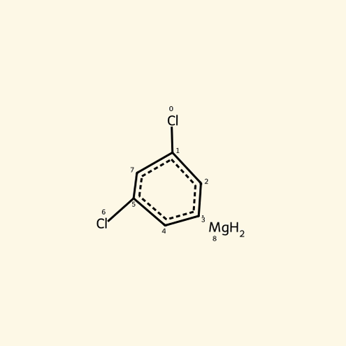 Clc1c[c]cc(Cl)c1.[MgH2]